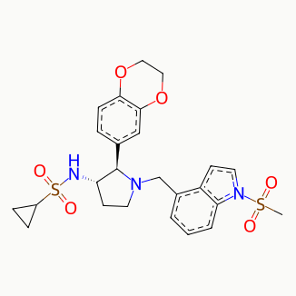 CS(=O)(=O)n1ccc2c(CN3CC[C@H](NS(=O)(=O)C4CC4)[C@H]3c3ccc4c(c3)OCCO4)cccc21